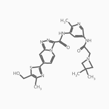 Cc1ncc(NC(=O)CN2CC(C)(C)C2)cc1NC(=O)c1nnc2cc(-c3nc(C)c(CO)s3)ccn12